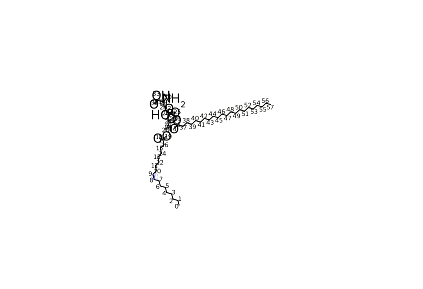 CCCCCCCC/C=C\CCCCCCCC(=O)OC[C@H](COP(=O)(O)OC[C@H](N)C(=O)O)OC(=O)CCCCCCCCCCCCCCCCCCCCC